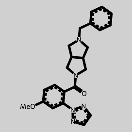 COc1ccc(C(=O)N2CC3CN(Cc4ccccc4)CC3C2)c(-n2nccn2)c1